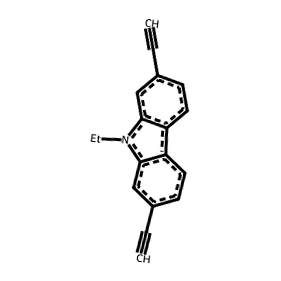 C#Cc1ccc2c3ccc(C#C)cc3n(CC)c2c1